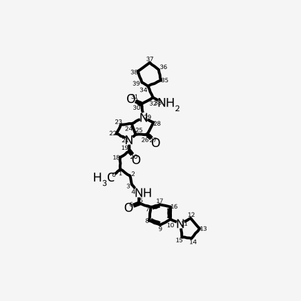 CC(CCNC(=O)c1ccc(N2CCCC2)cc1)CC(=O)N1CCC2C1C(=O)CN2C(=O)C(N)C1CCCCC1